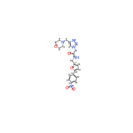 O=C(Cn1cc(CN2CCOCC2)nn1)NCc1ccc(-c2ccc([N+](=O)[O-])cc2)o1